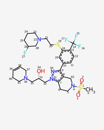 CS(=O)(=O)N1CCc2c(c(-c3ccc(C(F)(F)F)c(SCCN4CCCC(F)C4)c3)nn2C[C@@H](O)CN2CC=CCC2)C1